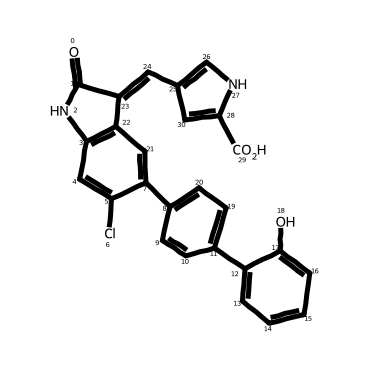 O=C1Nc2cc(Cl)c(-c3ccc(-c4ccccc4O)cc3)cc2C1=Cc1c[nH]c(C(=O)O)c1